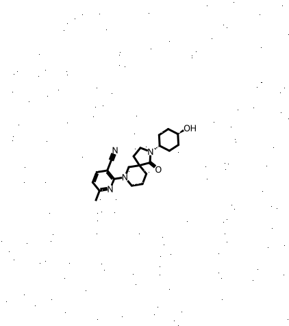 Cc1ccc(C#N)c(N2CCCC3(CCN([C@H]4CC[C@H](O)CC4)C3=O)C2)n1